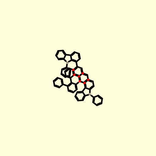 c1ccc(-c2ccccc2-c2c(-c3ccccc3)cccc2N(c2ccc(-c3cccc4c5ccccc5n(-c5ccccc5)c34)cc2)c2cccc3c2c2ccccc2n3-c2ccccc2)cc1